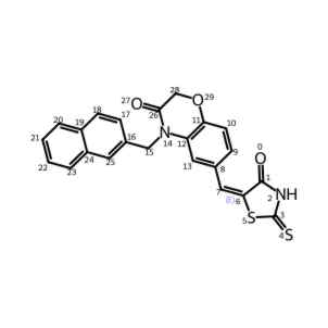 O=C1NC(=S)S/C1=C/c1ccc2c(c1)N(Cc1ccc3ccccc3c1)C(=O)CO2